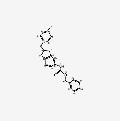 Cc1ccc(CC2Cc3ccc(NC(=O)OCc4ccccc4)cc3C2)cc1